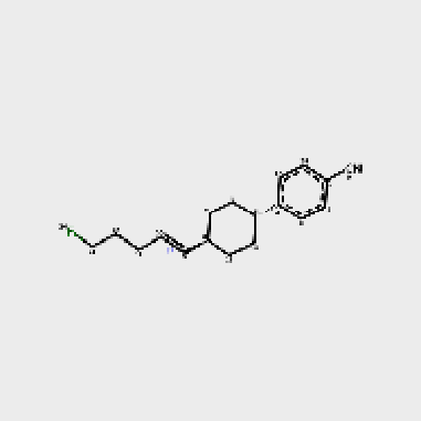 N#Cc1ccc([C@H]2CC[C@H](/C=C/CCCF)CC2)cc1